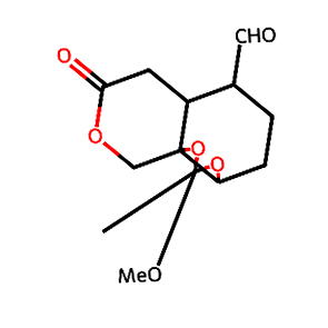 COC1(C)OC2CCC(C=O)C3CC(=O)OCC23O1